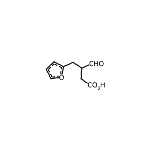 O=CC(CC(=O)O)Cc1ccco1